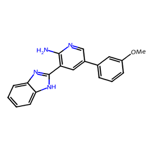 COc1cccc(-c2cnc(N)c(-c3nc4ccccc4[nH]3)c2)c1